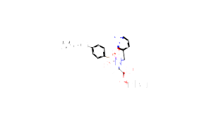 CCCCOC(=O)[C@@H](C)N(Cc1cccnc1)S(=O)(=O)c1ccc(OC)cc1